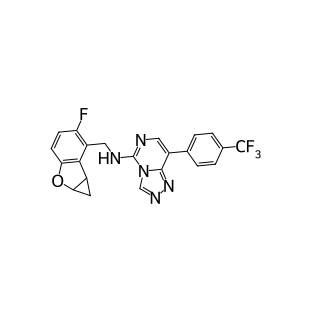 Fc1ccc2c(c1CNc1ncc(-c3ccc(C(F)(F)F)cc3)c3nncn13)C1CC1O2